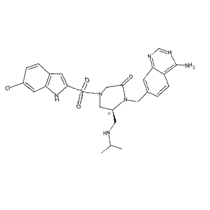 CC(C)NC[C@H]1CN(S(=O)(=O)c2cc3ccc(Cl)cc3[nH]2)CC(=O)N1Cc1ccc2c(N)ncnc2c1